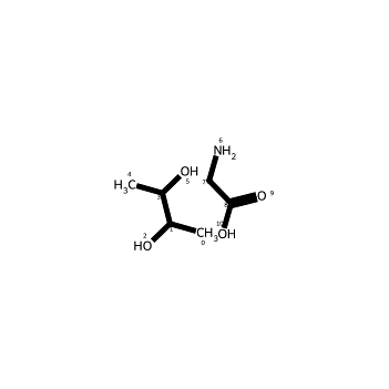 CC(O)C(C)O.NCC(=O)O